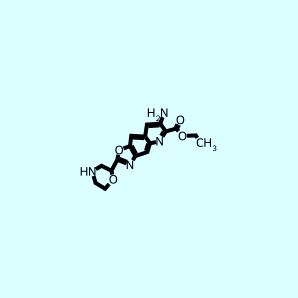 CCOC(=O)c1nc2cc3nc(C4CNCCO4)oc3cc2cc1N